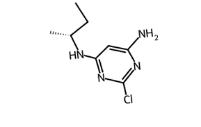 CC[C@@H](C)Nc1cc(N)nc(Cl)n1